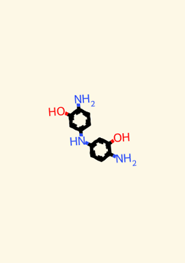 Nc1ccc(Nc2ccc(N)c(O)c2)cc1O